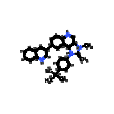 C=C1N(C)c2cnc3ccc(-c4cnc5ccccc5c4)cc3c2N1c1ccc(C(C)(C)C#N)cc1